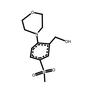 CS(=O)(=O)c1ccc(N2CCOCC2)c(CO)c1